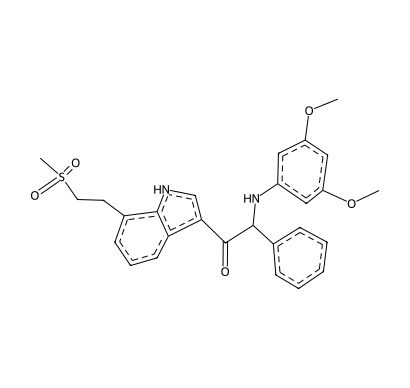 COc1cc(NC(C(=O)c2c[nH]c3c(CCS(C)(=O)=O)cccc23)c2ccccc2)cc(OC)c1